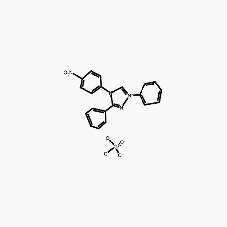 O=[N+]([O-])c1ccc(-n2c[n+](-c3ccccc3)nc2-c2ccccc2)cc1.[O-][Cl+3]([O-])([O-])[O-]